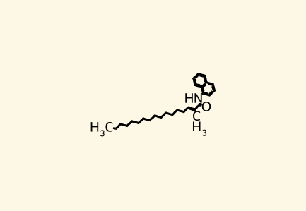 CCCCCCCCCCCCCCC=C(C)C(=O)Nc1cccc2ccccc12